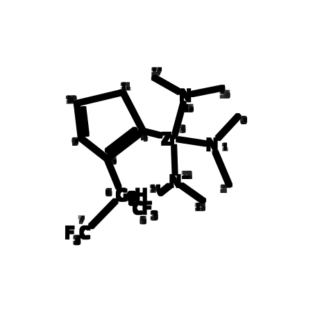 C[N](C)[Zr]([C]1=[C]([GeH]([C](F)(F)F)[C](F)(F)F)C=CC1)([N](C)C)[N](C)C